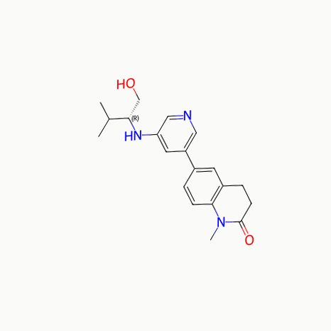 CC(C)[C@H](CO)Nc1cncc(-c2ccc3c(c2)CCC(=O)N3C)c1